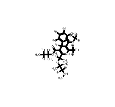 [2H]c1c([2H])c(C)c(Cl)c(C2([2H])C(C(=O)OC([2H])([2H])[2H])=C(C([2H])([2H])[2H])NC(C(C)(C)OC(C)(C)C([2H])([2H])NC)=C2C(=O)OC(C)(C)C([2H])([2H])C)c1[2H]